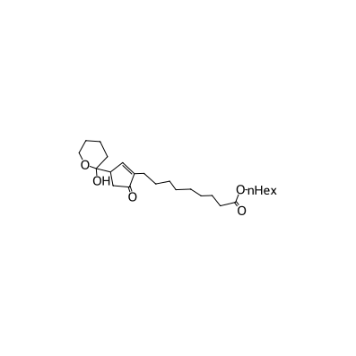 CCCCCCOC(=O)CCCCCCCCC1=CC(C2(O)CCCCO2)CC1=O